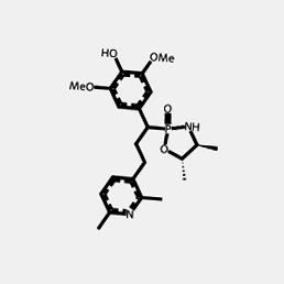 COc1cc(C(CCc2ccc(C)nc2C)P2(=O)N[C@@H](C)[C@H](C)O2)cc(OC)c1O